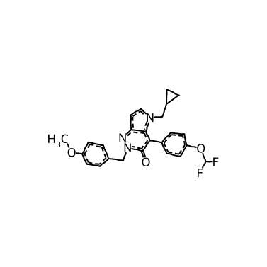 COc1ccc(Cn2nc3ccn(CC4CC4)c3c(-c3ccc(OC(F)F)cc3)c2=O)cc1